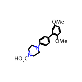 COc1ccc(OC)c(-c2ccc(N3CCN(C(=O)O)CC3)cc2)c1